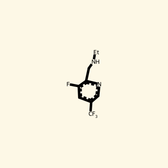 CCNCc1ncc(C(F)(F)F)cc1F